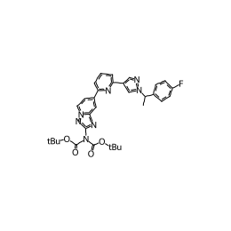 CC(c1ccc(F)cc1)n1cc(-c2cccc(-c3ccn4nc(N(C(=O)OC(C)(C)C)C(=O)OC(C)(C)C)nc4c3)n2)cn1